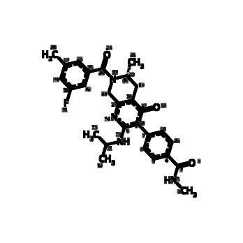 CNC(=O)c1ccc(-n2c(NC(C)C)nc3c(c2=O)C[C@@H](C)N(C(=O)c2cc(C)cc(F)c2)C3)cc1